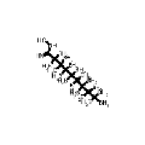 BC(B)(B)C(B)(B)C(B)(B)C(B)(B)C(B)(B)C(B)(B)C(B)(B)C(B)(B)C(=N)NO